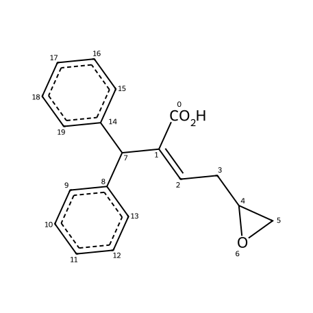 O=C(O)C(=CCC1CO1)C(c1ccccc1)c1ccccc1